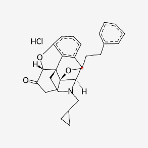 Cl.O=C1CC[C@@]2(OCCCc3ccccc3)[C@H]3Cc4cccc5c4[C@@]2(CCN3CC2CC2)[C@H]1O5